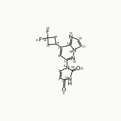 O=c1ccn(-c2cc(C3CC(F)(F)C3)c3nccn3n2)c(=O)[nH]1